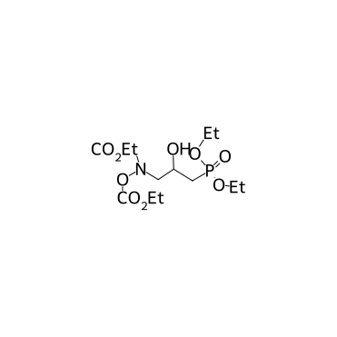 CCOC(=O)ON(CC(O)CP(=O)(OCC)OCC)C(=O)OCC